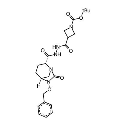 CC(C)(C)OC(=O)N1CC(C(=O)NNC(=O)[C@H]2CC[C@H]3CN2C(=O)N3OCc2ccccc2)C1